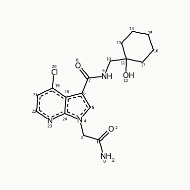 NC(=O)Cn1cc(C(=O)NCC2(O)CCCCC2)c2c(Cl)ccnc21